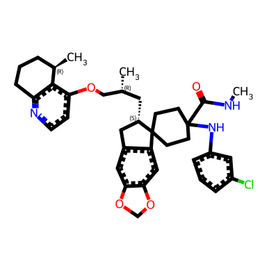 CNC(=O)C1(Nc2cccc(Cl)c2)CCC2(CC1)c1cc3c(cc1C[C@@H]2C[C@@H](C)COc1ccnc2c1[C@H](C)CCC2)OCO3